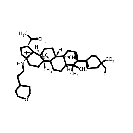 C=C(C)[C@@H]1CC[C@]2(NCCC3CCOCC3)CC[C@]3(C)[C@H](CC[C@@H]4[C@@]5(C)CC=C(C6=CCC(CF)(C(=O)O)CC6)C(C)(C)[C@@H]5CC[C@]43C)[C@@H]12